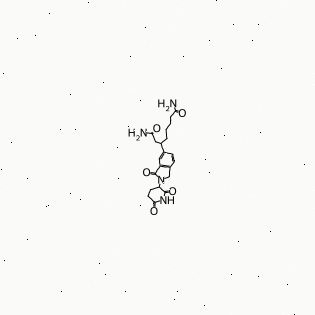 NC(=O)CCCCC(CC(N)=O)c1ccc2c(c1)C(=O)N(C1CCC(=O)NC1=O)C2